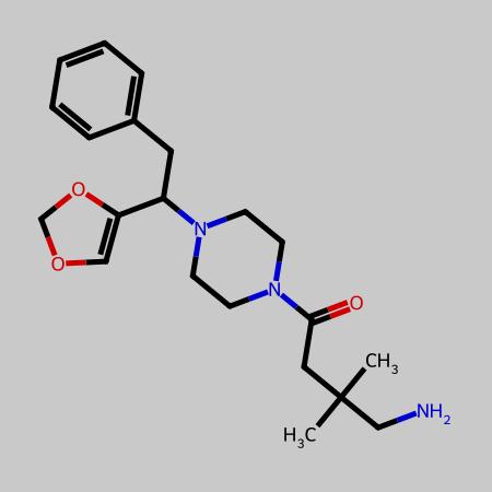 CC(C)(CN)CC(=O)N1CCN(C(Cc2ccccc2)C2=COCO2)CC1